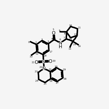 Cc1cc(C(=O)NC2C3(C)CCC(C3)C2(C)C)cc(S(=O)(=O)N2CCCc3ccccc32)c1C